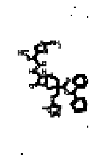 Cn1nnnc1SCC1(C(=O)OC(c2ccccc2)c2ccccc2)CS[C@@H]2C(NC(=O)C(=NO)c3csc(N)n3)C(=O)N2C1